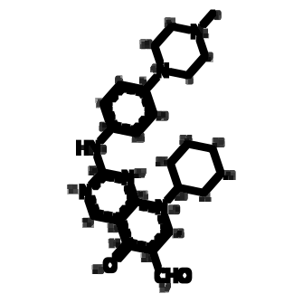 CN1CCN(c2ccc(Nc3ncc4c(=O)c(C=O)cn(C5CCCCC5)c4n3)cc2)CC1